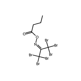 CCCC(=O)ON=C(C(Br)(Br)Br)C(Br)(Br)Br